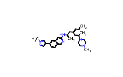 C=C/C=C(\C=C(/C)N1CCN(C)CC1)CC(=C)Nc1cc2cc(-c3cnn(C)c3)ccc2cn1